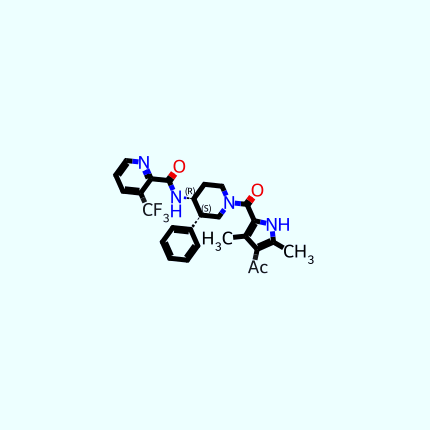 CC(=O)c1c(C)[nH]c(C(=O)N2CC[C@@H](NC(=O)c3ncccc3C(F)(F)F)[C@@H](c3ccccc3)C2)c1C